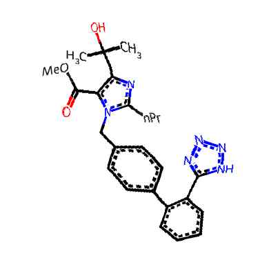 CCCc1nc(C(C)(C)O)c(C(=O)OC)n1Cc1ccc(-c2ccccc2-c2nnn[nH]2)cc1